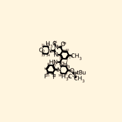 Cc1cc([C@@H](C)Nc2ccc(F)c(F)c2N2CCC(O[Si](C)(C)C(C)(C)C)CC2)c2nc(N3CCOCC3)n(C)c(=O)c2c1